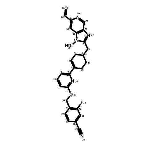 Cn1c(CC2CC=C(c3cccc(OCc4ccc(C#N)cc4F)n3)CC2)nc2cnc(C=O)cc21